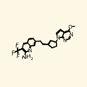 COc1ncnc2c1ccn2C1CCC(CCc2ccc3cc(C(F)(F)F)c(N)nc3c2)C1